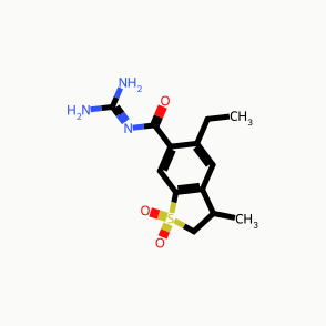 CCc1cc2c(cc1C(=O)N=C(N)N)S(=O)(=O)CC2C